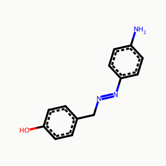 Nc1ccc(N=NCc2ccc(O)cc2)cc1